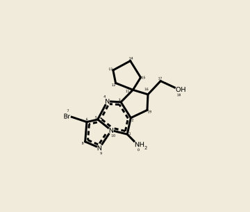 Nc1c2c(nc3c(Br)cnn13)C1(CCCC1)C(CO)C2